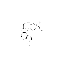 COCC1(C)CCN(n2c(CO)nc3cnc4c(ccn4SI)c32)CC1